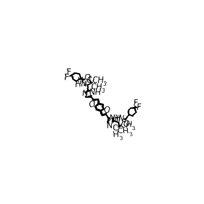 CC(C)(C)[C@H](NC(=O)C1CCC(F)(F)CC1)c1ncc(-c2cc3cc4oc(-c5cnc([C@@H](NC(=O)C6CCC(F)(F)CC6)C(C)(C)C)[nH]5)cc4cc3o2)[nH]1